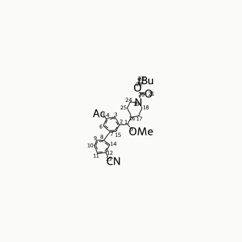 COC(c1cc(C(C)=O)cc(-c2cccc(C#N)c2)c1)C1CCN(C(=O)OC(C)(C)C)CC1